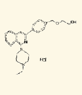 CCN1CCN(c2nc(-c3ccc(COCCO)cc3)cc3ccccc23)CC1.Cl